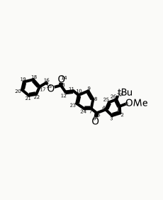 COc1ccc(C(=O)c2ccc(/C=C/C(=O)OCc3ccccc3)cc2)cc1C(C)(C)C